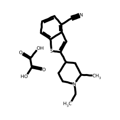 CCN1CCC(c2cc3c(C#N)cccc3s2)CC1C.O=C(O)C(=O)O